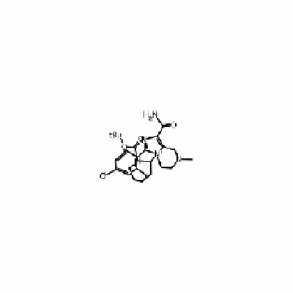 CN1CC[N+]2(C3CCCCN3C(=O)OC(C)(C)C)C(c3ccc(Cl)cc3F)=NC(C(N)=O)=C2C1